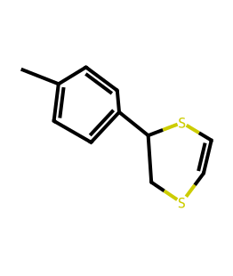 Cc1ccc(C2CSC=CS2)cc1